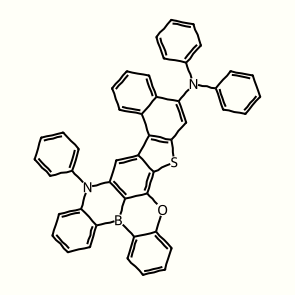 c1ccc(N2c3ccccc3B3c4ccccc4Oc4c3c2cc2c4sc3cc(N(c4ccccc4)c4ccccc4)c4ccccc4c32)cc1